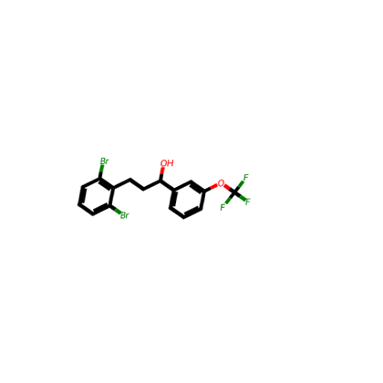 OC(CCc1c(Br)cccc1Br)c1cccc(OC(F)(F)F)c1